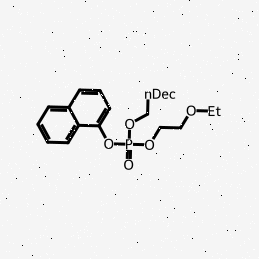 CCCCCCCCCCCOP(=O)(OCCOCC)Oc1cccc2ccccc12